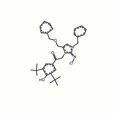 CC(C)(C)c1cc(C(=O)Cn2c(COCc3ccccc3)cn(Cc3ccccc3)/c2=N/Cl)cc(C(C)(C)C)c1O